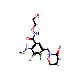 CNc1c(C(=O)NOCCO)cc(CN2OCCCC2=O)c(F)c1F